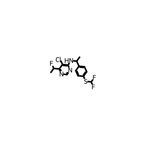 CC(F)c1ncnc(NC(C)c2ccc(SC(F)F)cc2)c1Cl